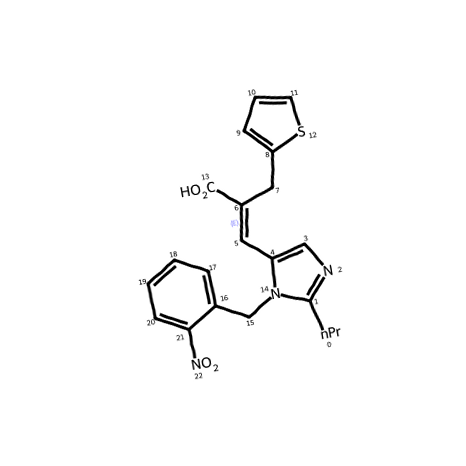 CCCc1ncc(/C=C(\Cc2cccs2)C(=O)O)n1Cc1ccccc1[N+](=O)[O-]